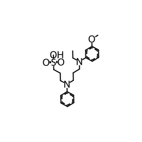 CCN(CCCN(CCCS(=O)(=O)O)c1ccccc1)c1cccc(OC)c1